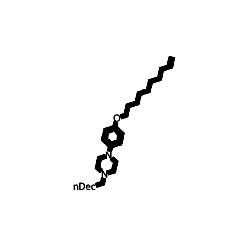 C=CCCCCCCCCOc1ccc(N2CCN(CCCCCCCCCCC)CC2)cc1